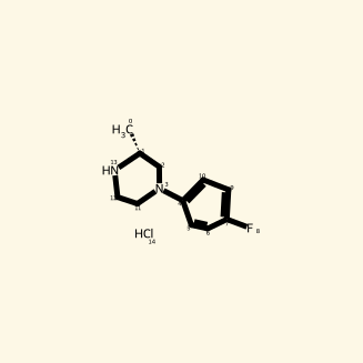 C[C@@H]1CN(c2ccc(F)cc2)CCN1.Cl